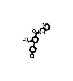 COCc1cc(C(=O)NCc2ccccn2)ccc1-c1ccc(Cl)cc1